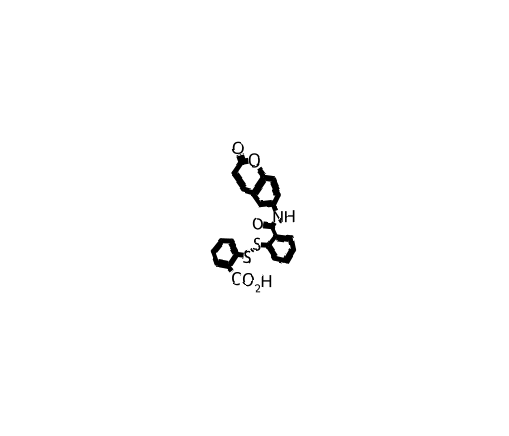 O=C(O)c1ccccc1SSc1ccccc1C(=O)Nc1ccc2oc(=O)ccc2c1